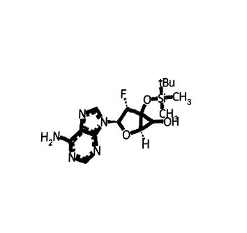 CC(C)(C)[Si](C)(C)OC12C(O)[C@H]1O[C@@H](n1cnc3c(N)ncnc31)[C@@H]2F